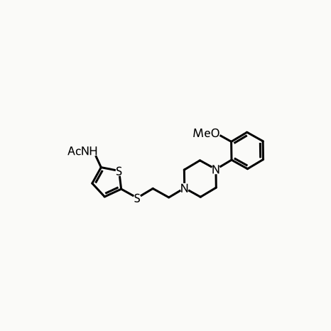 COc1ccccc1N1CCN(CCSc2ccc(NC(C)=O)s2)CC1